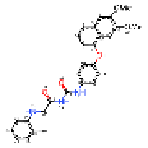 COc1cc2cccc(Oc3ccc(NC(=O)NC(=O)CNc4ccccc4C)cc3)c2cc1OC